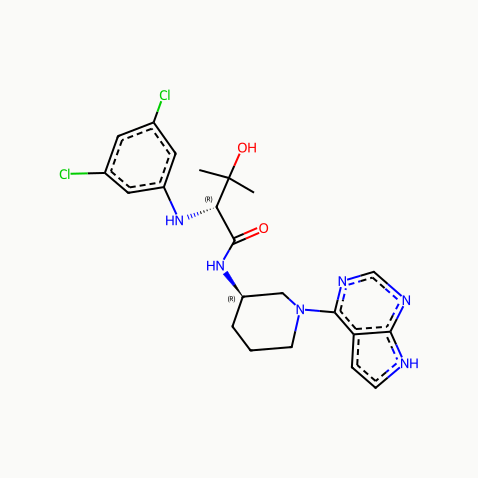 CC(C)(O)[C@@H](Nc1cc(Cl)cc(Cl)c1)C(=O)N[C@@H]1CCCN(c2ncnc3[nH]ccc23)C1